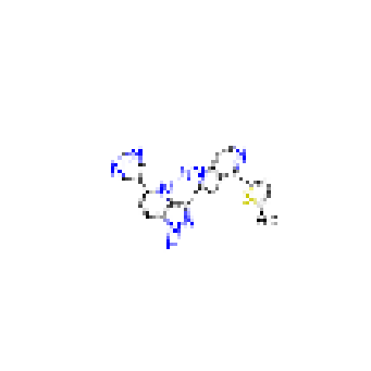 CC(=O)c1ccc(-c2nccc3[nH]c(-c4n[nH]c5ccc(-c6cncnc6)nc45)cc23)s1